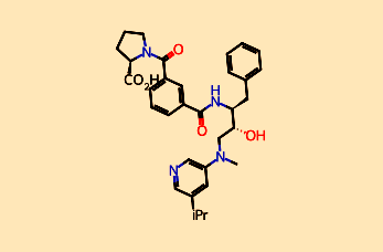 CC(C)c1cncc(N(C)C[C@@H](O)[C@H](Cc2ccccc2)NC(=O)c2cccc(C(=O)N3CCC[C@@H]3C(=O)O)c2)c1